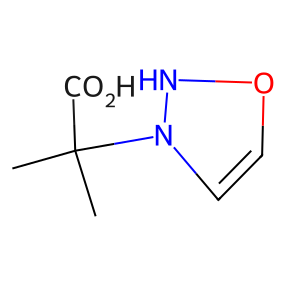 CC(C)(C(=O)O)N1C=CON1